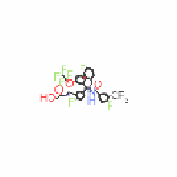 O=C(/C=C/c1cc([C@@](Cc2ccccc2)(NC(=O)c2ccc(F)c(C(F)(F)F)c2)c2cc(F)cc(OC(F)(F)C(F)F)c2)ccc1F)CO